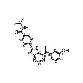 CC(C)NC(=O)c1ccc(-c2cc3ncnc(Nc4cccc(O)c4)c3s2)cc1